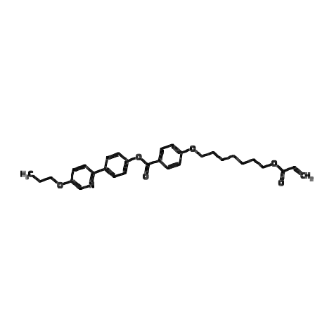 C=CC(=O)OCCCCCCCOc1ccc(C(=O)Oc2ccc(-c3ccc(OCCC)cn3)cc2)cc1